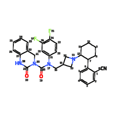 N#Cc1ccccc1C1CCCCC1N1CC(CN(C(=O)N2Cc3ccccc3NC2=O)c2ccc(F)c(F)c2)C1